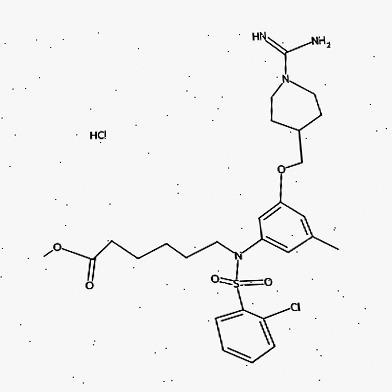 COC(=O)CCCCCN(c1cc(C)cc(OCC2CCN(C(=N)N)CC2)c1)S(=O)(=O)c1ccccc1Cl.Cl